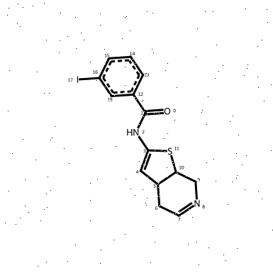 O=C(NC1=CC2CC=NCC2S1)c1cccc(I)c1